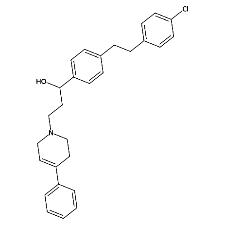 OC(CCN1CC=C(c2ccccc2)CC1)c1ccc(CCc2ccc(Cl)cc2)cc1